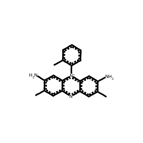 Cc1cc2nc3cc(C)c(N)cc3[n+](-c3ccccc3C)c2cc1N